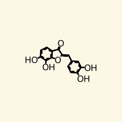 O=C1/C(=C/c2ccc(O)c(O)c2)Oc2c1ccc(O)c2O